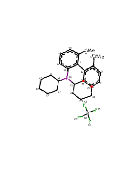 COc1ccccc1-c1c(OC)cccc1P(C1CCCCC1)C1CCCCC1.F[B-](F)(F)F